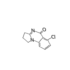 O=c1nc2n(c3cccc(Cl)c13)CCC2